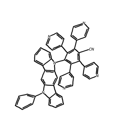 N#Cc1c(-c2ccncc2)c(-c2ccncc2)c(-n2c3ccccc3c3cc4c(cc32)c2ccccc2n4-c2ccccc2)c(-c2ccncc2)c1-c1ccncc1